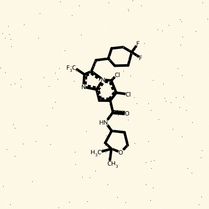 CC1(C)CC(NC(=O)c2cc3nc(C(F)(F)F)c(CC4CCC(F)(F)CC4)n3c(Cl)c2Cl)CCO1